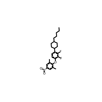 CCCCCC1CCC(c2ccc(Oc3c(C)cc([N+](=O)[O-])cc3C)c(F)c2F)CC1